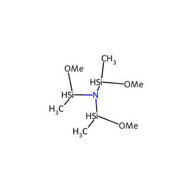 CO[SiH](C)N([SiH](C)OC)[SiH](C)OC